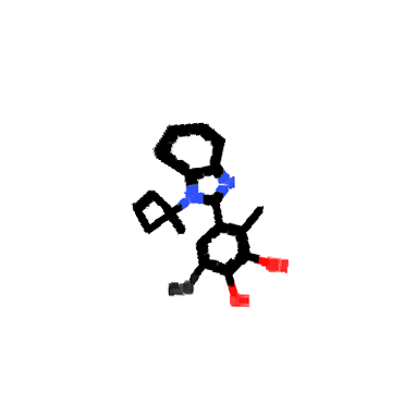 COc1cc(-c2nc3ccccc3n2C2(C)CCC2)c(C)c(O)c1O